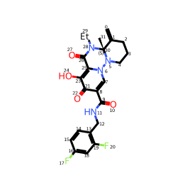 C=C1CCCN2n3cc(C(=O)NCc4ccc(F)cc4F)c(=O)c(O)c3C(=O)N(CC)[C@]12C